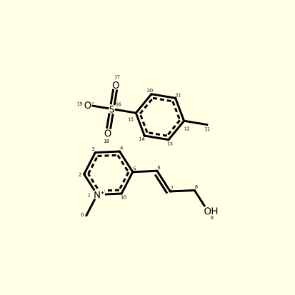 C[n+]1cccc(C=CCO)c1.Cc1ccc(S(=O)(=O)[O-])cc1